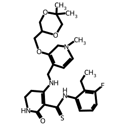 CCc1c(F)cccc1NC(=S)C1=C(NCC2=C(OCC3COC(C)(C)CO3)CN(C)C=C2)CCNC1=O